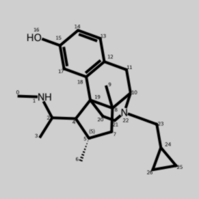 CNC(C)C1[C@@H](C)CC2(C)C3Cc4ccc(O)cc4C12CCN3CC1CC1